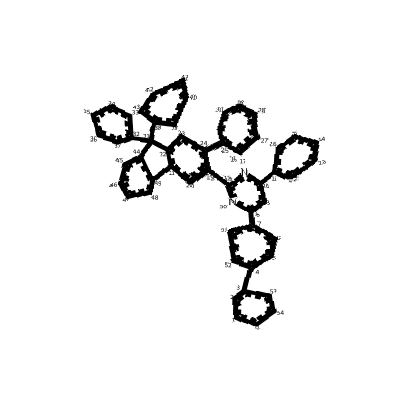 c1ccc(-c2ccc(-c3cc(-c4ccccc4)nc(-c4cc5c(cc4-c4ccccc4)C(c4ccccc4)(c4ccccc4)c4ccccc4-5)n3)cc2)cc1